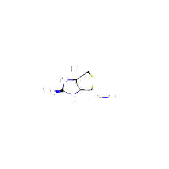 N=C1N[C@H]2[C@H](CS[C@H]2CN)N1